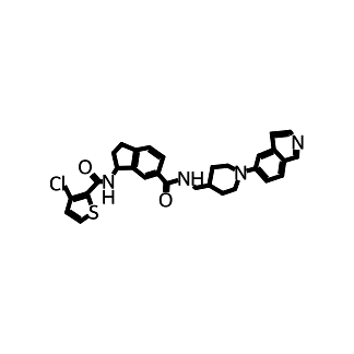 O=C(NCC1CCN(c2ccc3cnccc3c2)CC1)c1ccc2c(c1)C(NC(=O)c1sccc1Cl)CC2